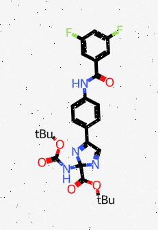 CC(C)(C)OC(=O)NC1(C(=O)OC(C)(C)C)N=CC(c2ccc(NC(=O)c3cc(F)cc(F)c3)cc2)=N1